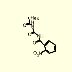 CCCCCCC(=O)NC(=O)NC(=O)c1ccccc1[N+](=O)[O-]